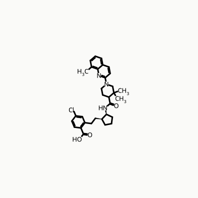 Cc1cccc2ccc(N3CCC(C(=O)N[C@H]4CCC[C@H]4CCc4cc(Cl)ccc4C(=O)O)C(C)(C)C3)nc12